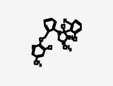 CN1CN(c2ccccc2COc2ncc(C(F)(F)F)cc2Cl)C(Cl)(c2c(F)cccc2Cl)N1